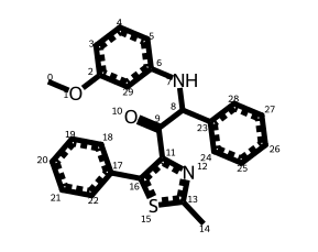 COc1cccc(NC(C(=O)c2nc(C)sc2-c2ccccc2)c2ccccc2)c1